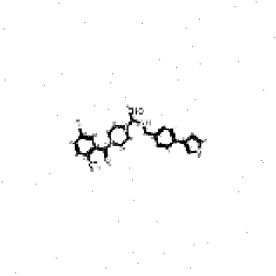 O=CC(NCc1ccc(-c2ccsc2)cc1)N1CCN(C(=O)c2cc(F)ccc2C(F)(F)F)CC1